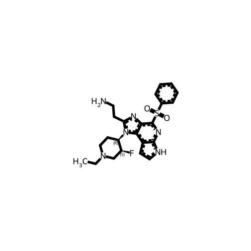 CCN1CC[C@@H](n2c(CCN)nc3c(S(=O)(=O)c4ccccc4)nc4[nH]ccc4c32)[C@@H](F)C1